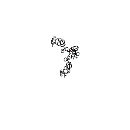 CC(F)(F)C(=O)OC12CC3CC(C1)C1(OCC(COC(=O)C45CC6CC(C4)C4(OCC(F)(F)C(F)(F)CO4)C(C6)C5)C(COC(=O)C45CC6CC(C4)C4(OCC(F)(F)C(F)(F)CO4)C(C6)C5)O1)C(C3)C2